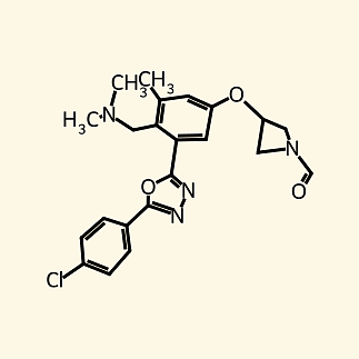 Cc1cc(OC2CN(C=O)C2)cc(-c2nnc(-c3ccc(Cl)cc3)o2)c1CN(C)C